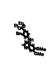 CCOC(OCC)c1ccc(Nc2ncnc3cc(OC)c(OC)cc23)cc1Br